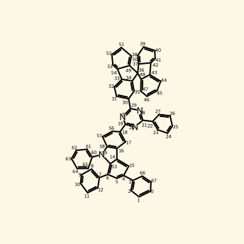 c1ccc(-c2cc(-c3ccccc3)c3c(c2)c2cc(-c4nc(-c5ccccc5)nc(-c5ccc6c(c5)C5(c7ccccc7-c7ccccc75)c5ccccc5-6)n4)ccc2n3-c2ccccc2)cc1